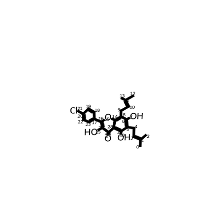 CC(C)=CCc1c(O)c(CC=C(C)C)c2oc(-c3ccc(Cl)cc3)c(O)c(=O)c2c1O